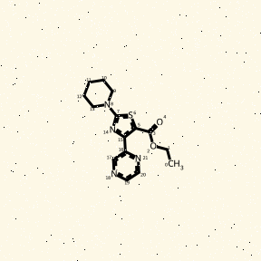 CCOC(=O)c1sc(N2CCCCC2)nc1-c1cnccn1